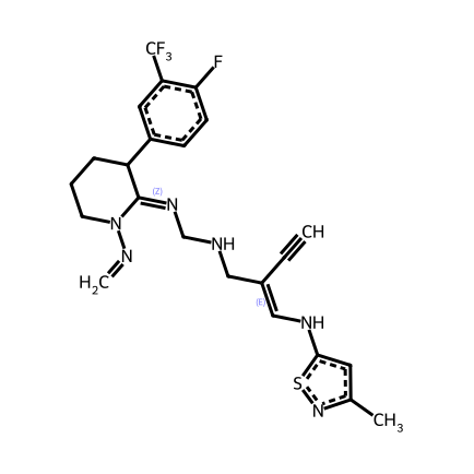 C#C/C(=C\Nc1cc(C)ns1)CNC/N=C1/C(c2ccc(F)c(C(F)(F)F)c2)CCCN1N=C